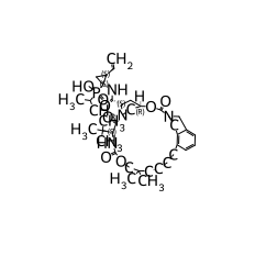 C=C[C@@H]1C[C@]1(NC(=O)[C@@H]1C[C@@H]2CN1C(=O)[C@H](C(C)(C)C)NC(=O)OCC(C)(C)CCCCc1cccc3c1CN(C3)C(=O)O2)P(=O)(O)C(C)C